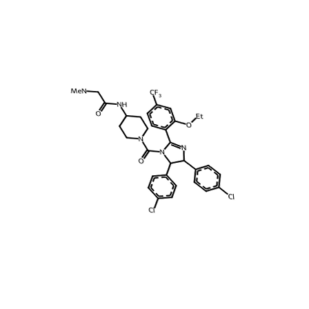 CCOc1cc(C(F)(F)F)ccc1C1=NC(c2ccc(Cl)cc2)C(c2ccc(Cl)cc2)N1C(=O)N1CCC(NC(=O)CNC)CC1